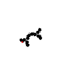 CC1(C)c2ccccc2-c2ccc(N(c3ccc4c(c3)oc3ccccc34)c3ccc4c(c3)oc3cc5oc6cc7oc8cc(N(c9ccc%10c(c9)C(C)(C)c9ccccc9-%10)c9ccc%10c(c9)oc9ccccc9%10)ccc8c7cc6c5cc34)cc21